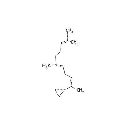 CC(C)=CCC/C(C)=C/C/C=C(/C)C1CC1